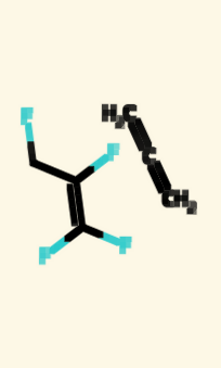 C=C=C.FCC(F)=C(F)F